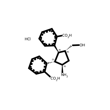 Cl.N[C@@H]1C[C@@H](CO)[C@H](c2ccccc2C(=O)O)[C@H]1c1ccccc1C(=O)O